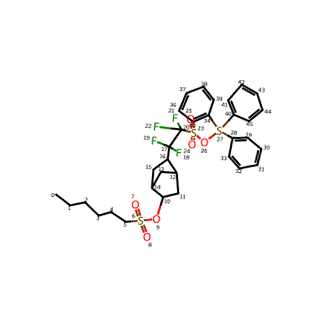 CCCCCCS(=O)(=O)OC1CC2CC1CC2C(F)(F)C(F)(F)S(=O)(=O)OS(c1ccccc1)(c1ccccc1)c1ccccc1